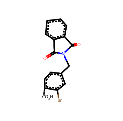 O=C(O)c1ccc(CN2C(=O)c3ccccc3C2=O)cc1Br